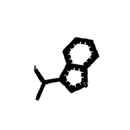 CC(I)c1csc2ccccc12